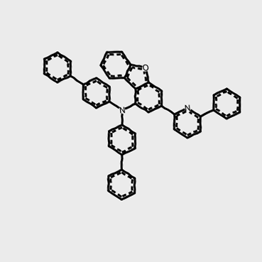 c1ccc(-c2ccc(N(c3ccc(-c4ccccc4)cc3)c3cc(-c4cccc(-c5ccccc5)n4)cc4oc5ccccc5c34)cc2)cc1